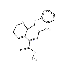 CO/N=C(/C(=O)OC)C1=CCCOC1COc1ccccc1